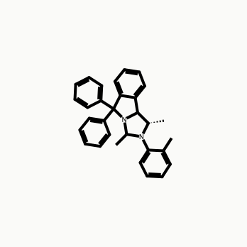 Cc1ccccc1N1C(C)N2C(c3ccccc3C2(c2ccccc2)c2ccccc2)[C@@H]1C